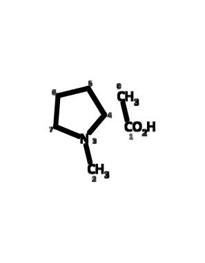 CC(=O)O.CN1CCCC1